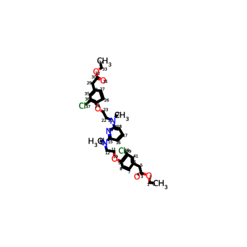 CCOC(=O)Cc1ccc(OCCN(C)c2cccc(N(C)CCOc3ccc(CC(=O)OCC)cc3Cl)n2)c(Cl)c1